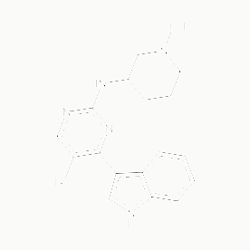 CN1CCCC(Nc2ncc(Br)c(-c3c[nH]c4ccccc34)n2)C1